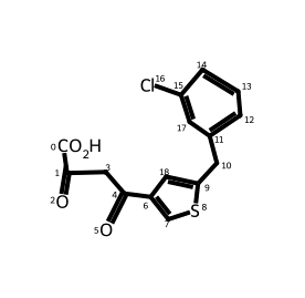 O=C(O)C(=O)CC(=O)c1csc(Cc2cccc(Cl)c2)c1